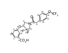 O=C(O)c1cncc(OC2CN(C(=O)Cc3ccc(OC(F)(F)F)cc3)CC2(F)F)c1